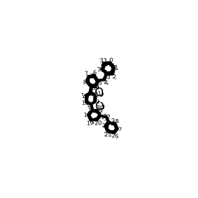 c1ccc(Cc2cccc3c2oc2c3ccc3c4cccc(Cc5ccccc5)c4oc32)cc1